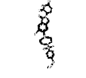 COc1ccc(S(=O)(=O)N2CCN(c3cc4c(cc3F)C(=O)N(C3CCC(=O)NC3=O)C4)CC2)cc1